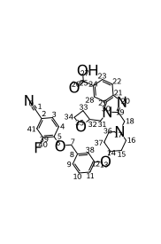 N#Cc1ccc(OCc2cccc(OC3CCN(Cc4nc5ccc(C(=O)O)cc5n4CC4CCO4)CC3)c2)c(F)c1